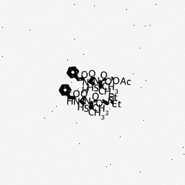 CC(=O)OCOC(=O)[C@@H]1N2C(=O)[C@@H](NC(=O)Cc3ccccc3)[C@H]2SC1(C)C.CCN(CC)CCOC(=O)[C@@H]1N2C(=O)[C@@H](NC(=O)Cc3ccccc3)[C@H]2SC1(C)C